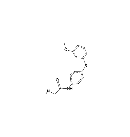 COc1cccc(Sc2ccc(NC(=O)CN)cc2)c1